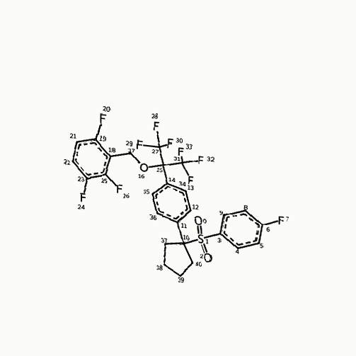 O=S(=O)(c1ccc(F)cc1)C1(c2ccc(C(OCc3c(F)ccc(F)c3F)(C(F)(F)F)C(F)(F)F)cc2)CCCC1